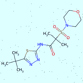 CC(C)(C)c1nnc(NC(=O)C(C)(C)S(=O)(=O)N2CCOCC2)s1